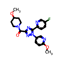 COc1ccc(-n2nc(C(=O)N3CCC(OC)CC3)nc2-c2ccc(F)cn2)cn1